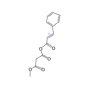 COC(=O)CC(=O)OC(=O)/C=C/c1ccccc1